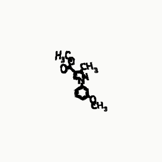 COC(=O)c1cn(-c2cccc(OC)c2)nc1C